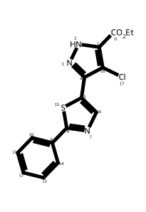 CCOC(=O)c1[nH]nc(-c2cnc(-c3ccccc3)s2)c1Cl